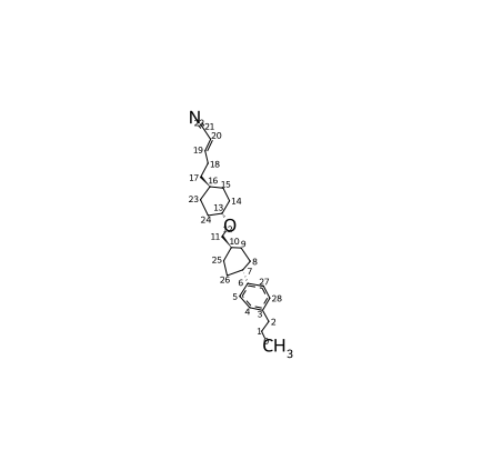 CCCc1ccc([C@H]2CC[C@H](CO[C@H]3CC[C@H](CCC=CC#N)CC3)CC2)cc1